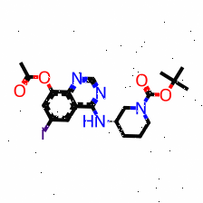 CC(=O)Oc1cc(I)cc2c(N[C@H]3CCCN(C(=O)OC(C)(C)C)C3)ncnc12